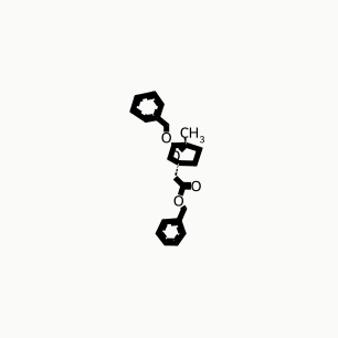 C[C@@]12CC[C@@](CC(=O)OCc3ccccc3)(C[C@@H]1OCc1ccccc1)O2